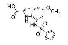 COc1cc(NS(=O)(=O)c2cccs2)c2[nH]c(C(=O)O)cc2c1